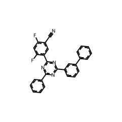 N#Cc1cc(-c2nc(-c3ccccc3)nc(-c3cccc(-c4ccccc4)c3)n2)c(F)cc1F